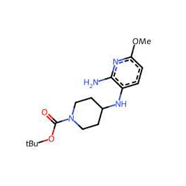 COc1ccc(NC2CCN(C(=O)OC(C)(C)C)CC2)c(N)n1